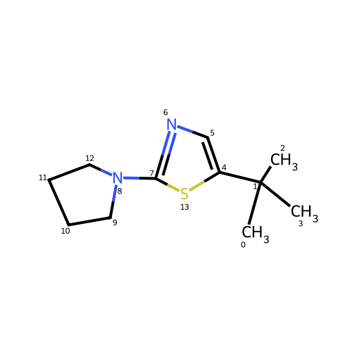 CC(C)(C)c1cnc(N2CCCC2)s1